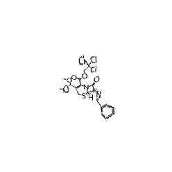 COC(OC)C1=C(C(=O)OCC(Cl)(Cl)Cl)N2C(=O)[C@H](N=Cc3ccccc3)[C@@H]2SC1